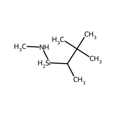 CN[SiH2]C(C)C(C)(C)C